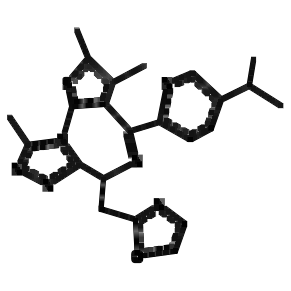 Cc1sc2c(c1C)C(c1ccc(C(C)C)cn1)=NC(Cc1ncco1)c1nnc(C)n1-2